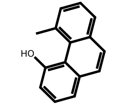 Cc1cccc2ccc3cccc(O)c3c12